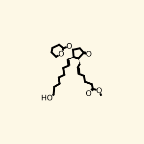 COC(=O)CCC/C=C\C[C@H]1C(=O)C[C@@H](OC2CCCCO2)[C@@H]1C=CCCCCCCO